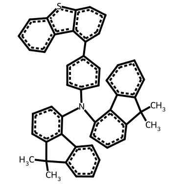 CC1(C)c2ccccc2-c2c(N(c3ccc(-c4cccc5sc6ccccc6c45)cc3)c3cccc4c3-c3ccccc3C4(C)C)cccc21